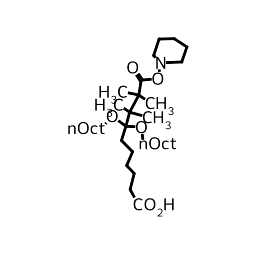 CCCCCCCCOC(CCCCCC(=O)O)(OCCCCCCCC)C(C)(C)C(C)(C)C(=O)ON1CCCCC1